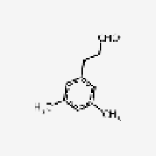 Cc1cc(C)cc(CC[C]=O)c1